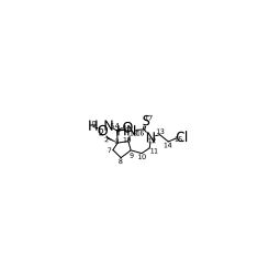 COC[C@]1(C(N)=O)CCC2CCN(CCCl)C(=S)NC21